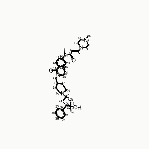 CN1CCN(C=CC(=O)Nc2ccc3c(=O)n(CC4CCN(C(=O)C[C@@H](c5ccccc5)C(C)(C)O)CC4)cnc3c2)CC1